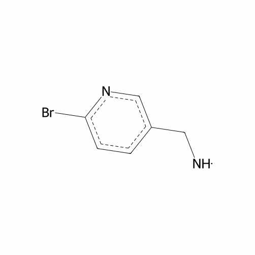 [NH]Cc1ccc(Br)nc1